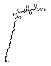 CCC=CCC=CCC=CCC=CCC=CCC=CCCC(=O)N[C@@H](CCCNC(=O)C=CC(=O)OC)C(=O)O